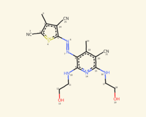 Cc1c(C#N)sc(N=Nc2c(NCCO)nc(NCCO)c(C#N)c2C)c1C#N